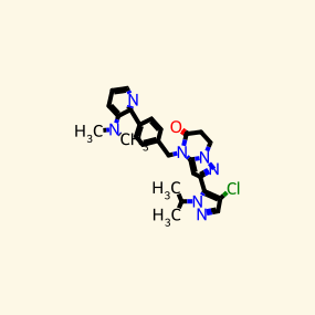 CC(C)n1ncc(Cl)c1-c1cc2n(n1)CCC(=O)N2Cc1ccc(-c2ncccc2N(C)C)cc1